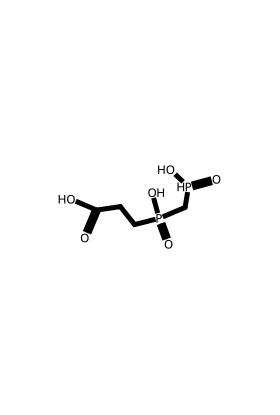 O=C(O)CCP(=O)(O)C[PH](=O)O